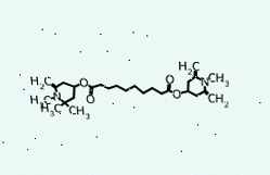 C=C1CC(OC(=O)CCCCCCCCC(=O)OC2CC(=C)N(C)C(C)(C)C2)CC(=C)N1C